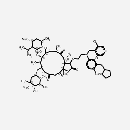 COc1ccc(N(CCSC2C(=O)O[C@@]3(C)[C@H]2[C@@H](C)C(=O)[C@H](C)C[C@@](C)(OC)[C@H](O[C@@H]2O[C@H](C)C[C@@H](OC)[C@@H]2N(C)C)[C@@H](C)[C@H](O[C@H]2C[C@@](C)(OC)[C@@H](O)[C@H](C)O2)[C@@H](C)C(=O)O[C@@H]3I)Cc2c(Cl)cncc2Cl)cc1OC1CCCC1